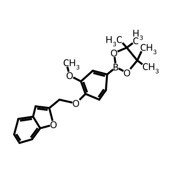 COc1cc(B2OC(C)(C)C(C)(C)O2)ccc1OCc1cc2ccccc2o1